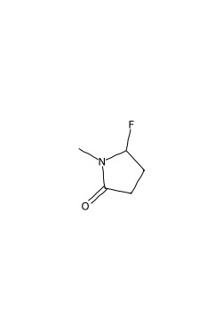 CN1C(=O)CCC1F